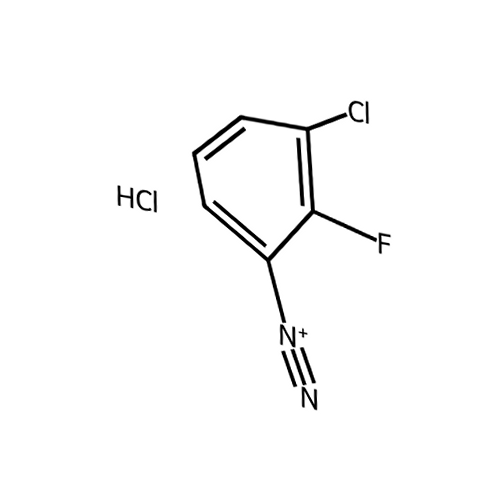 Cl.N#[N+]c1cccc(Cl)c1F